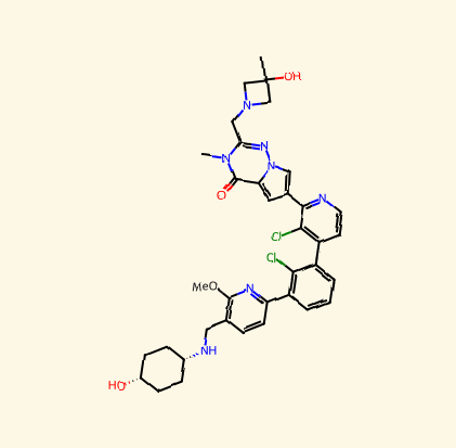 COc1nc(-c2cccc(-c3ccnc(-c4cc5c(=O)n(C)c(CN6CC(C)(O)C6)nn5c4)c3Cl)c2Cl)ccc1CN[C@H]1CC[C@@H](O)CC1